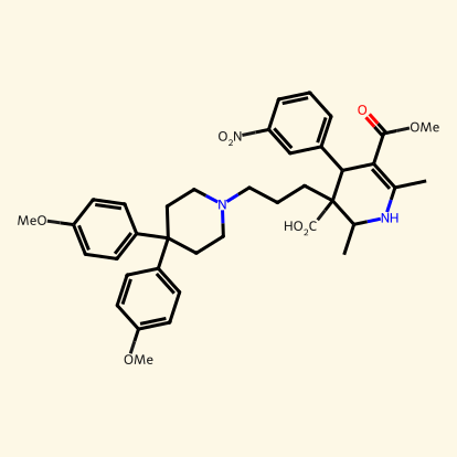 COC(=O)C1=C(C)NC(C)C(CCCN2CCC(c3ccc(OC)cc3)(c3ccc(OC)cc3)CC2)(C(=O)O)C1c1cccc([N+](=O)[O-])c1